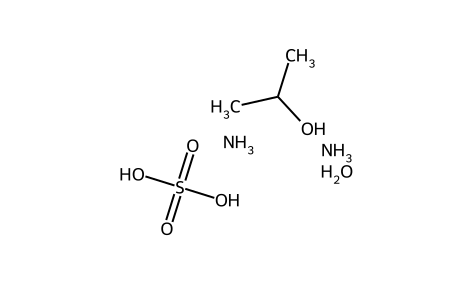 CC(C)O.N.N.O.O=S(=O)(O)O